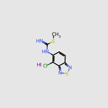 CSC(=N)Nc1ccc2nsnc2c1Cl.I